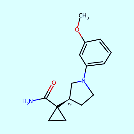 COc1cccc(N2CC[C@@H](C3(C(N)=O)CC3)C2)c1